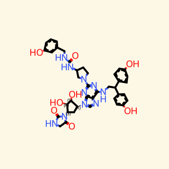 O=C(NCc1cccc(O)c1)NC1CCN(c2nc(NCC(c3ccc(O)cc3)c3ccc(O)cc3)c3ncn([C@@H]4C[C@H](N5C(=O)CNC5=O)[C@@H](O)[C@H]4O)c3n2)C1